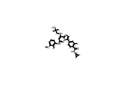 COc1cccc(Nc2cc(NCC(C)(C)O)c3ncc(-c4ccc(C(=O)NC5CC5)c(C)c4)n3n2)c1C